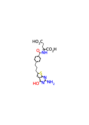 Nc1nc(O)c2cc(CCCc3ccc(C(=O)N[C@@H](CCC(=O)O)C(=O)O)cc3)sc2n1